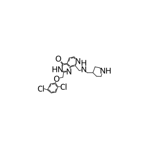 O=c1[nH]c(COc2cc(Cl)ccc2Cl)nc2c(CNCC3CCNCC3)nccc12